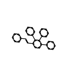 C(=Cc1ccc(-c2ccccc2)c(-c2ccccc2)c1-c1ccccc1)c1ccccc1